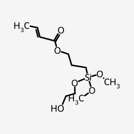 CC=CC(=O)OCCC[Si](OC)(OC)OCCO